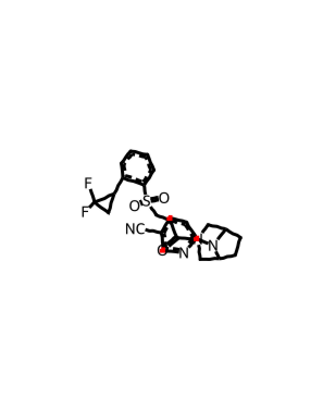 N#Cc1ccc(N2C3CCC2CN(C(=O)CCS(=O)(=O)c2ccccc2C2CC2(F)F)C3)nc1